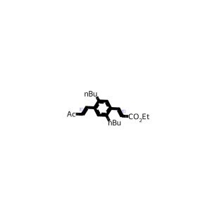 CCCCc1cc(/C=C/C(=O)OCC)c(CCCC)cc1/C=C/C(C)=O